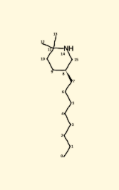 CCCCCCCC[C@H]1CCC(C)(C)NC1